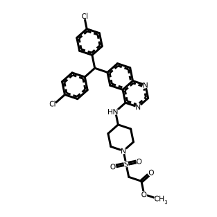 COC(=O)CS(=O)(=O)N1CCC(Nc2ncnc3ccc(C(c4ccc(Cl)cc4)c4ccc(Cl)cc4)cc23)CC1